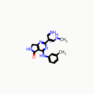 CN/C=C(\C=N)c1nc2c(c(Nc3cccc(C)c3)n1)C(=O)NC2